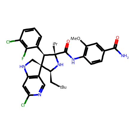 COc1cc(C(N)=O)ccc1NC(=O)[C@]1(C(C)C)N[C@@H](CC(C)(C)C)[C@@]2(CNc3cc(Cl)ncc32)[C@H]1c1cccc(Cl)c1F